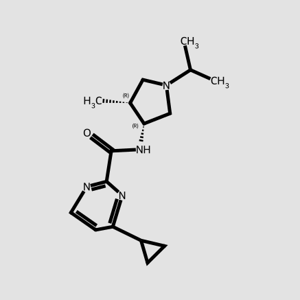 CC(C)N1C[C@@H](C)[C@@H](NC(=O)c2nccc(C3CC3)n2)C1